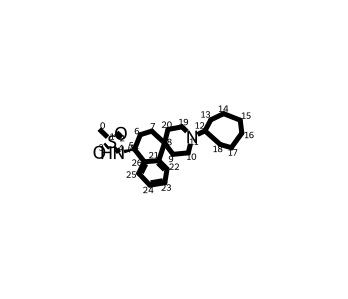 CS(=O)(=O)N[C@H]1CCC2(CCN(C3CCCCCC3)CC2)c2ccccc21